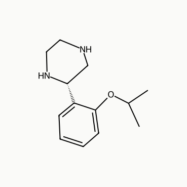 CC(C)Oc1ccccc1[C@H]1CNCCN1